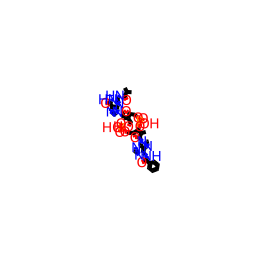 CC(C)C(=O)Nc1nc2c(ncn2C2OC3COP(=O)(O)OC4C(COP(=O)(O)OC2C3CO)OC(n2cnc3c(NC(=O)c5ccccc5)ncnc32)C4C)c(=O)[nH]1